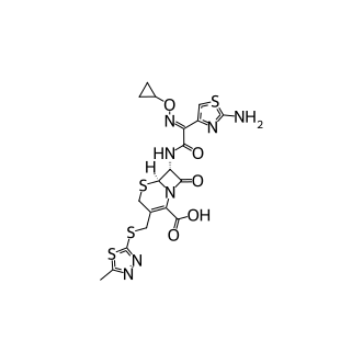 Cc1nnc(SCC2=C(C(=O)O)N3C(=O)[C@@H](NC(=O)C(=NOC4CC4)c4csc(N)n4)[C@@H]3SC2)s1